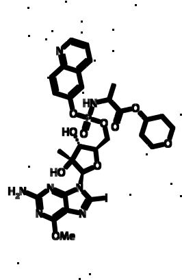 COc1nc(N)nc2c1nc(I)n2[C@@H]1O[C@H](COP(=O)(NC(C)C(=O)OC2CCOCC2)Oc2ccc3ncccc3c2)[C@@H](O)[C@@]1(C)O